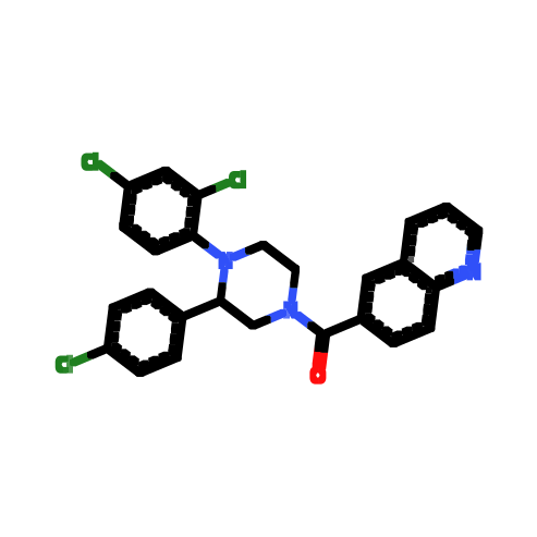 O=C(c1ccc2ncccc2c1)N1CCN(c2ccc(Cl)cc2Cl)C(c2ccc(Cl)cc2)C1